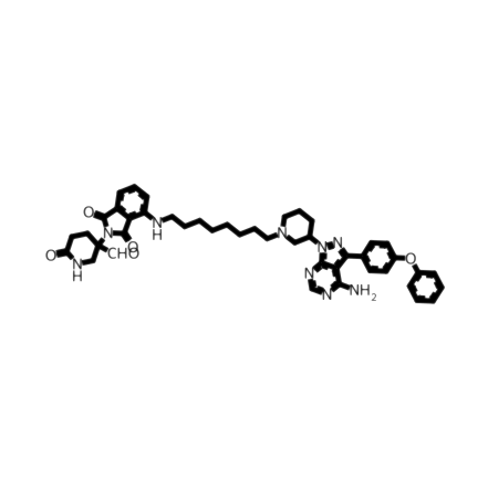 Nc1ncnc2c1c(-c1ccc(Oc3ccccc3)cc1)nn2C1CCCN(CCCCCCCCNc2cccc3c2C(=O)N(C2(C=O)CCC(=O)NC2)C3=O)C1